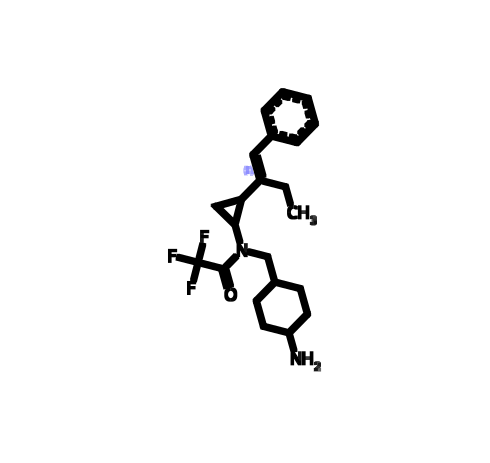 CC/C(=C\c1ccccc1)C1CC1N(CC1CCC(N)CC1)C(=O)C(F)(F)F